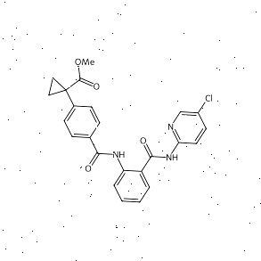 COC(=O)C1(c2ccc(C(=O)Nc3ccccc3C(=O)Nc3ccc(Cl)cn3)cc2)CC1